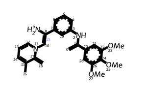 C=C(Nc1cccc(/C(N)=C/N2C=CC=C(C)C2=C)c1)c1cc(OC)c(OC)c(OC)c1